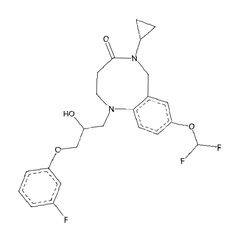 O=C1CCN(CC(O)COc2cccc(F)c2)c2ccc(OC(F)F)cc2CN1C1CC1